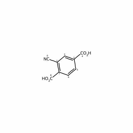 N#Cc1cc(C(=O)O)ccc1C(=O)O